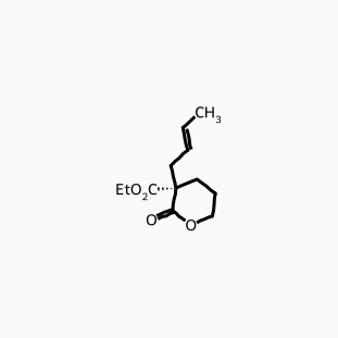 C/C=C/C[C@@]1(C(=O)OCC)CCCOC1=O